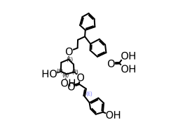 O=C(/C=C/c1ccc(O)cc1)O[C@@H]1C[C@@H](OCCC(c2ccccc2)c2ccccc2)C[C@H](O)[C@H]1O.O=C(O)O